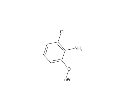 CCCOc1cccc(Cl)c1N